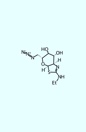 CCNC1=N[C@@H]2[C@@H](O)[C@H](O)[C@@H](CN=[N+]=[N-])O[C@@H]2S1